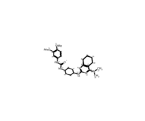 COc1ccc(NC(=O)NC2CCC(Nc3nc4c(c(N(C)C)n3)CCCC4)CC2)cc1OC